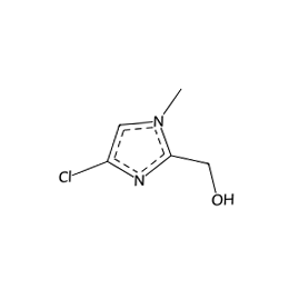 Cn1cc(Cl)nc1CO